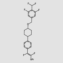 CCC/C(F)=C(\F)c1ccc(C2CCC(OCc3cc(F)c(C(F)F)c(F)c3)CC2)cc1